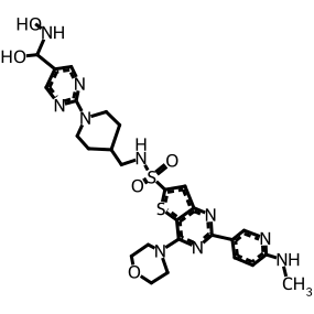 CNc1ccc(-c2nc(N3CCOCC3)c3sc(S(=O)(=O)NCC4CCN(c5ncc(C(O)NO)cn5)CC4)cc3n2)cn1